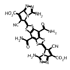 N#Cc1c(C(=O)O)c2nnc(N)n2c1=C1Sc2c(c(C(N)=O)c3c(c2C(N)=O)SC(=c2c(C#N)c(C(=O)O)c4nnc(N)n24)S3)S1